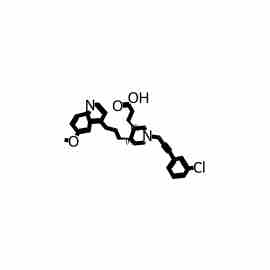 COc1ccc2nccc(CCC[C@@H]3CCN(CC#Cc4cccc(Cl)c4)C[C@@H]3CCC(=O)O)c2c1